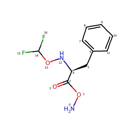 NOC(=O)[C@H](Cc1ccccc1)NOC(F)F